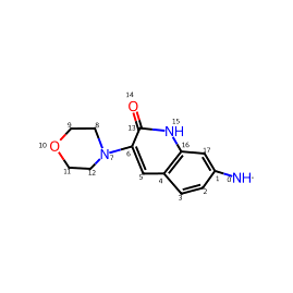 [NH]c1ccc2cc(N3CCOCC3)c(=O)[nH]c2c1